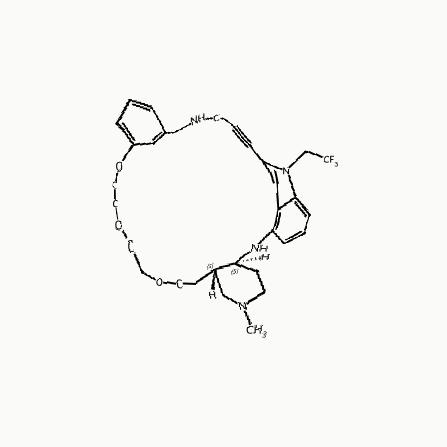 CN1CC[C@@H]2Nc3cccc4c3cc(n4CC(F)(F)F)C#CCNc3cccc(c3)OCCOCCOCC[C@H]2C1